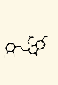 O=Cc1ccc2c(=O)cc(CCc3cccc(F)c3F)n(CC(=O)O)c2c1